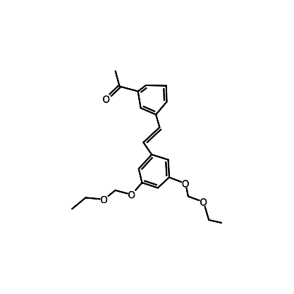 CCOCOc1cc(/C=C/c2cccc(C(C)=O)c2)cc(OCOCC)c1